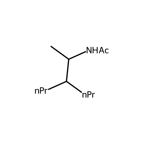 CCCC(CCC)C(C)NC(C)=O